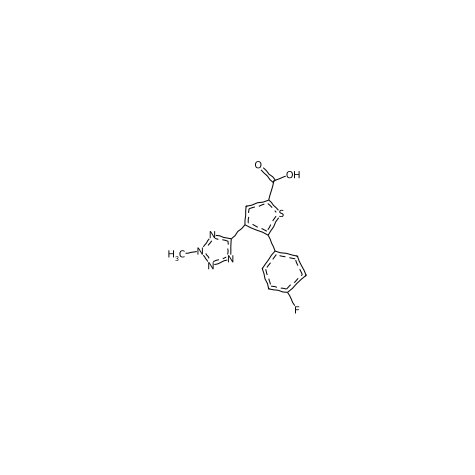 Cn1nnc(-c2cc(C(=O)O)sc2-c2ccc(F)cc2)n1